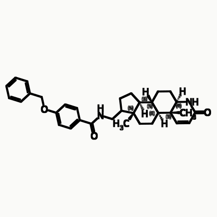 C[C@]12C=CC(=O)N[C@@H]1CC[C@@H]1[C@@H]2CC[C@]2(C)C(CNC(=O)c3ccc(OCc4ccccc4)cc3)CC[C@@H]12